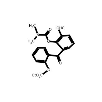 CCOC(=O)Oc1ccccc1C(=O)c1cccc([C]=O)c1OC(=O)N(C)C